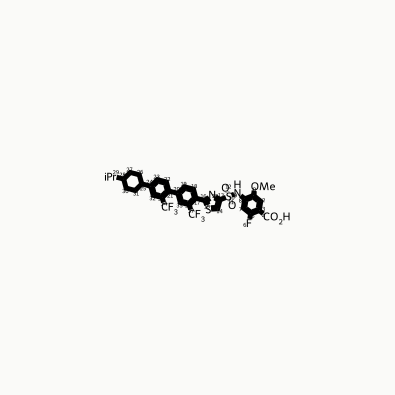 COc1cc(C(=O)O)c(F)cc1NS(=O)(=O)c1csc(-c2ccc(-c3ccc(C4CCC(C(C)C)CC4)cc3C(F)(F)F)cc2C(F)(F)F)n1